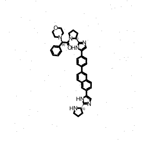 O=C([C@@H](c1ccccc1)N1CCOCC1)N1CCC[C@H]1c1ncc(-c2ccc(-c3ccc4cc(-c5cnc([C@@H]6CCCN6)[nH]5)ccc4c3)cc2)[nH]1